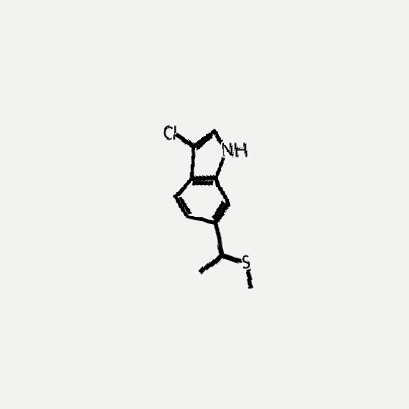 CSC(C)c1ccc2c(Cl)c[nH]c2c1